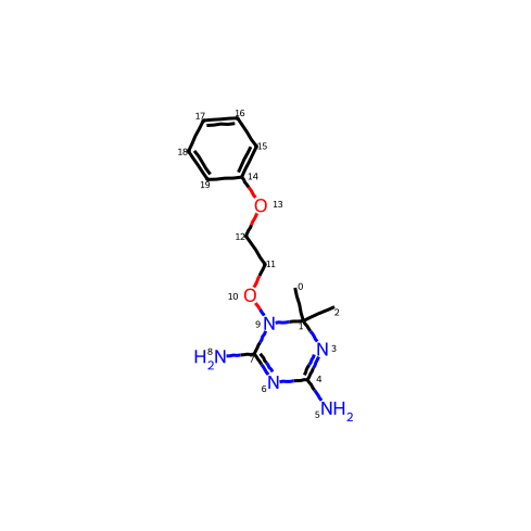 CC1(C)N=C(N)N=C(N)N1OCCOc1ccccc1